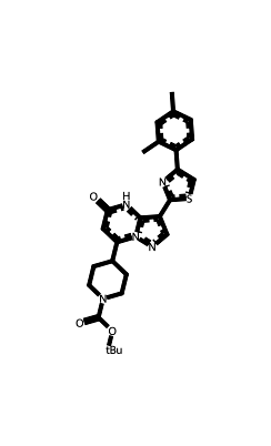 Cc1ccc(-c2csc(-c3cnn4c(C5CCN(C(=O)OC(C)(C)C)CC5)cc(=O)[nH]c34)n2)c(C)c1